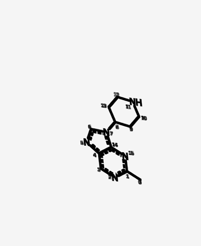 Cc1ncc2ncn(C3CCNCC3)c2n1